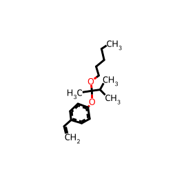 C=Cc1ccc(OC(C)(OCCCCC)C(C)C)cc1